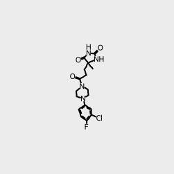 CC1(CCC(=O)N2CCN(c3ccc(F)c(Cl)c3)CC2)NC(=O)NC1=O